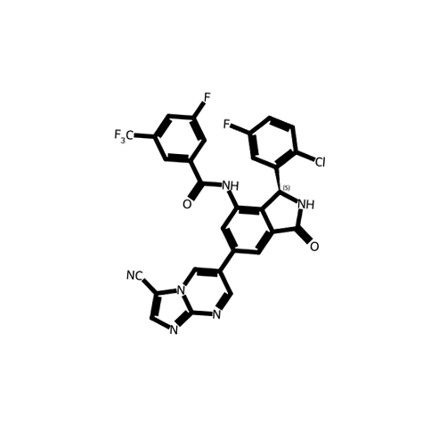 N#Cc1cnc2ncc(-c3cc(NC(=O)c4cc(F)cc(C(F)(F)F)c4)c4c(c3)C(=O)N[C@@H]4c3cc(F)ccc3Cl)cn12